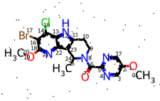 COc1cnc(C(=O)N2CCc3[nH]c4c(Cl)c(Br)c(OC)nc4c3C2C)nc1